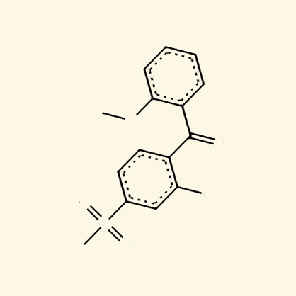 COc1ccccc1C(=O)c1ccc(S(C)(=O)=O)cc1Cl